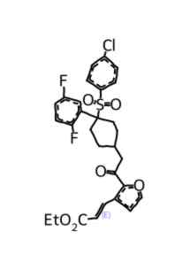 CCOC(=O)/C=C/c1ccoc1C(=O)CC1CCC(c2cc(F)ccc2F)(S(=O)(=O)c2ccc(Cl)cc2)CC1